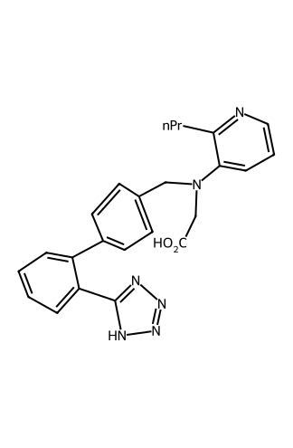 CCCc1ncccc1N(CC(=O)O)Cc1ccc(-c2ccccc2-c2nnn[nH]2)cc1